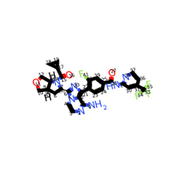 Nc1nccn2c([C@@H]3C[C@H]4COC[C@H]4N3C(=O)C3CC3)nc(-c3ccc(C(=O)Nc4cc(C(F)(F)F)ccn4)cc3F)c12